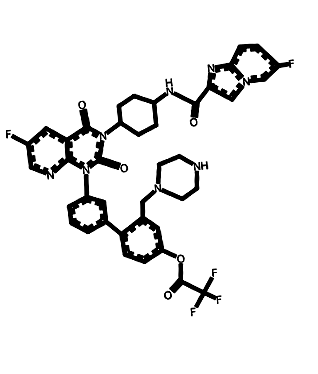 O=C(NC1CCC(n2c(=O)c3cc(F)cnc3n(-c3cccc(-c4ccc(OC(=O)C(F)(F)F)cc4CN4CCNCC4)c3)c2=O)CC1)c1cn2cc(F)ccc2n1